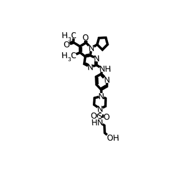 CC(=O)c1c(C)c2cnc(Nc3ccc(N4CCN(S(=O)(=O)NCCO)CC4)cn3)nc2n(C2CCCC2)c1=O